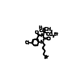 CCOC(=O)C(C)(C)n1c(=O)c2cc(Cl)ccc2n(CCCCBr)c1=O